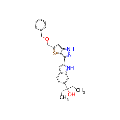 CCC(O)(CC)c1ccc2cc(-c3n[nH]c4cc(COCc5ccccc5)sc34)[nH]c2c1